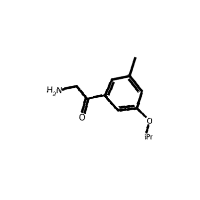 Cc1cc(OC(C)C)cc(C(=O)CN)c1